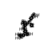 O=C(O)C1(c2ccc(N3CCNCC3c3ccc(NS(=O)(=O)c4ccc(NC(CCN5CCC(OP(=O)(O)O)CC5)CSc5ccccc5)c(S(=O)(=O)C(F)(F)F)c4)cc3)cc2)C=CNC1